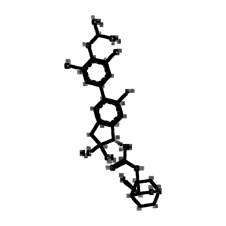 CC(C)Oc1c(Cl)cc(-c2cc3c(cc2F)[C@H](NC(=O)O[C@@H]2CN4CCC2CC4)C(C)(C)C3)cc1Cl